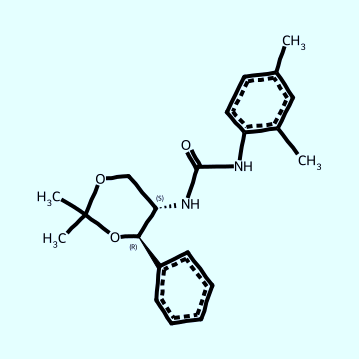 Cc1ccc(NC(=O)N[C@H]2COC(C)(C)O[C@@H]2c2ccccc2)c(C)c1